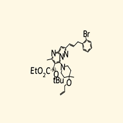 C=CCOC1(C)CCN(c2c([C@H](OC(C)(C)C)C(=O)OCC)c(C)nc3cc(C=CCc4ccccc4Br)nn23)CC1